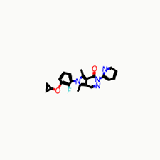 Cc1c2cnn(-c3ccccn3)c(=O)c2c(C)n1-c1cccc(OC2CC2)c1F